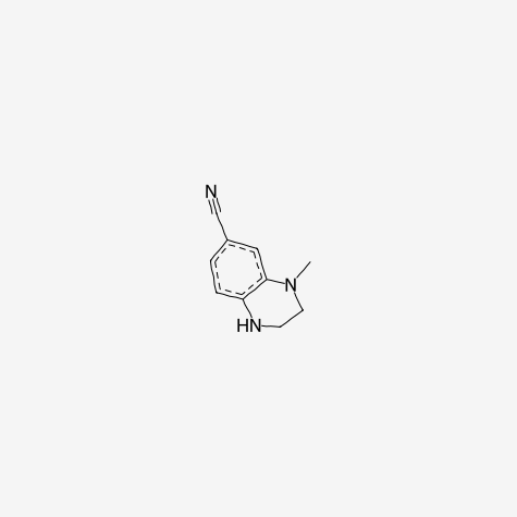 CN1CCNc2ccc(C#N)cc21